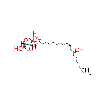 CCCCCC[C@@H](O)C/C=C\CCCCCCCC(=O)O[C@@]1(O)CO[C@@H]2[C@H](O)CO[C@@H]21